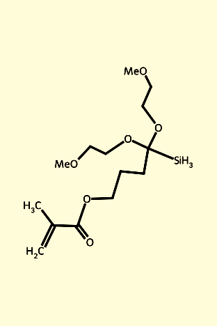 C=C(C)C(=O)OCCCC([SiH3])(OCCOC)OCCOC